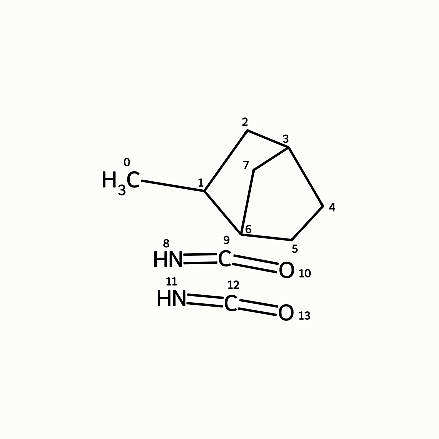 CC1CC2CCC1C2.N=C=O.N=C=O